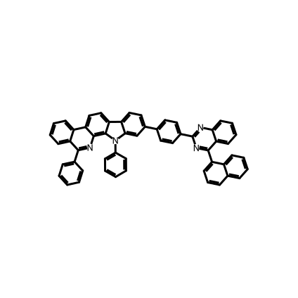 c1ccc(-c2nc3c(ccc4c5ccc(-c6ccc(-c7nc(-c8cccc9ccccc89)c8ccccc8n7)cc6)cc5n(-c5ccccc5)c43)c3ccccc23)cc1